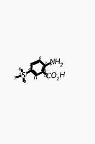 C[Si](C)(C)c1ccc(N)c(C(=O)O)c1